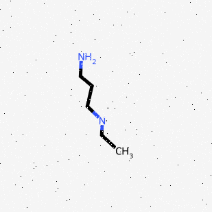 CC[N]CCCN